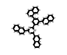 c1ccc2cc(-c3nc(-c4cc(-c5cc6ccccc6cn5)cc(-c5nccc6ccccc56)c4)nc(-c4ccc5ccccc5c4)n3)ccc2c1